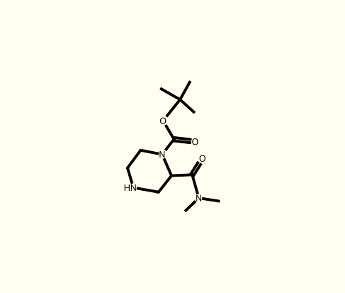 CN(C)C(=O)C1CNCCN1C(=O)OC(C)(C)C